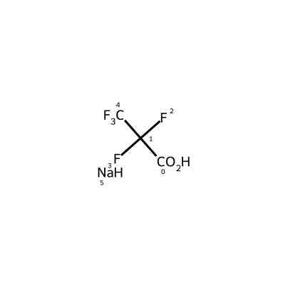 O=C(O)C(F)(F)C(F)(F)F.[NaH]